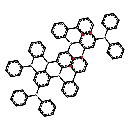 c1ccc(-c2ccccc2N2c3ccc(N(c4ccccc4)c4ccccc4)cc3Sc3cc4c(cc32)B2c3ccccc3N(c3ccccc3)c3cc(N(c5ccccc5)c5ccccc5)cc(c32)N4c2ccccc2-c2ccccc2)cc1